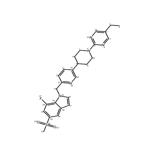 CCc1cnc(N2CCC(c3ccc(Cn4ccc5cc(S(C)(=O)=O)cc(F)c54)nc3)CC2)nc1